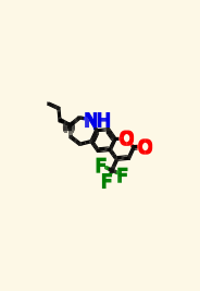 CCC[C@@H]1CCc2cc3c(C(F)(F)F)cc(=O)oc3cc2NC1